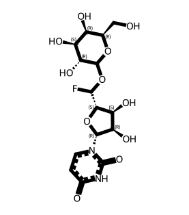 O=c1ccn([C@@H]2O[C@H](C(F)OC3O[C@H](CO)[C@H](O)[C@H](O)[C@H]3O)[C@@H](O)[C@H]2O)c(=O)[nH]1